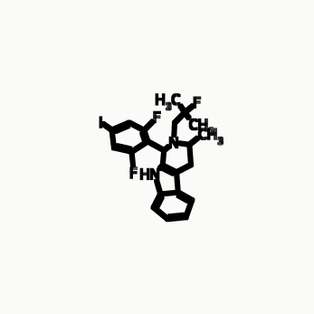 CC1Cc2c([nH]c3ccccc23)C(c2c(F)cc(I)cc2F)N1CC(C)(C)F